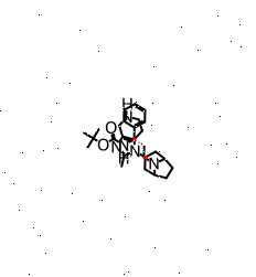 Cc1nc2c(n1C1CC3CCC(C1)N3CC[C@H](NC(=O)OC(C)(C)C)c1ccccc1)CCNC2